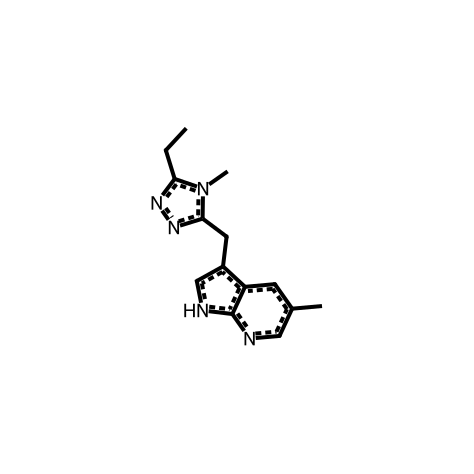 CCc1nnc(Cc2c[nH]c3ncc(C)cc23)n1C